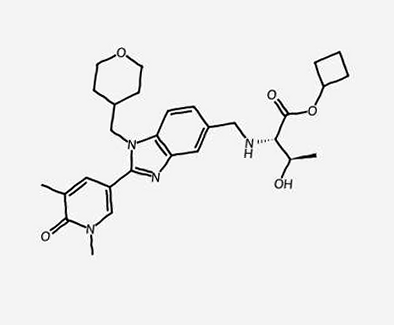 Cc1cc(-c2nc3cc(CN[C@H](C(=O)OC4CCC4)[C@@H](C)O)ccc3n2CC2CCOCC2)cn(C)c1=O